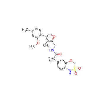 COc1cc(C)ccc1-c1coc(CNC(=O)C2(c3ccc4c(c3)OCS(=O)(=O)N4)CC2)c1C